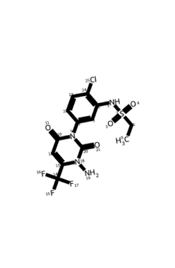 CCS(=O)(=O)Nc1cc(-n2c(=O)cc(C(F)(F)F)n(N)c2=O)ccc1Cl